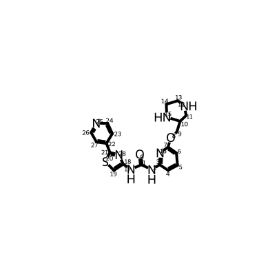 O=C(Nc1cccc(OCC2CNCCN2)n1)Nc1csc(-c2ccncc2)n1